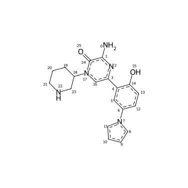 Nc1nc(-c2cc(-n3cccc3)ccc2O)cn(C2CCCNC2)c1=O